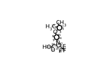 Cc1cccc(Oc2ccc(N3C[C@@H](C(F)(F)F)C[C@H]3CC(=O)O)cc2)c1C